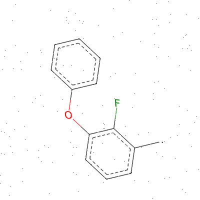 [CH2]c1cccc(Oc2ccccc2)c1F